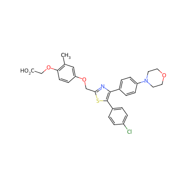 Cc1cc(OCc2nc(-c3ccc(N4CCOCC4)cc3)c(-c3ccc(Cl)cc3)s2)ccc1OCC(=O)O